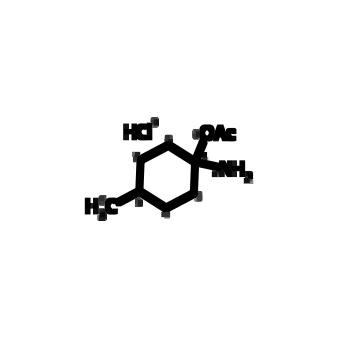 CC(=O)OC1(N)CCC(C)CC1.Cl